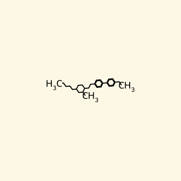 CCCCCC1CCC(CCc2ccc(-c3ccc(CC)cc3)cc2)C(C)C1